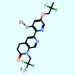 CCSc1cc(OCC(C)(F)F)cnc1-c1cc2c(cn1)N(CC(F)(F)C(F)(F)F)C(=O)CC2